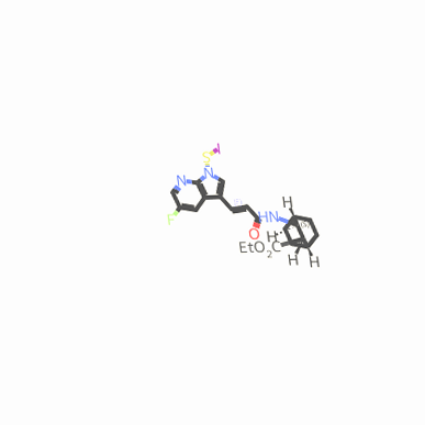 CCOC(=O)[C@H]1[C@H]2CC[C@H](CC2)[C@@H]1NC(=O)/C=C/c1cn(SI)c2ncc(F)cc12